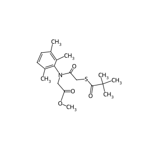 COC(=O)CN(C(=O)CSC(=O)C(C)(C)C)c1c(C)ccc(C)c1C